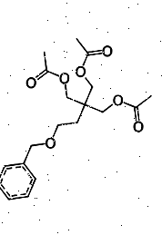 CC(=O)OCC(CCOCc1ccccc1)(COC(C)=O)COC(C)=O